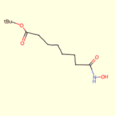 CC(C)(C)OC(=O)CCCCCCC(=O)NO